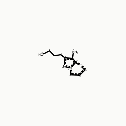 Nc1c(CCCO)nn2ccccc12